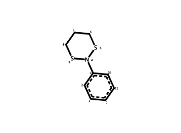 c1ccc(N2SCCCS2)cc1